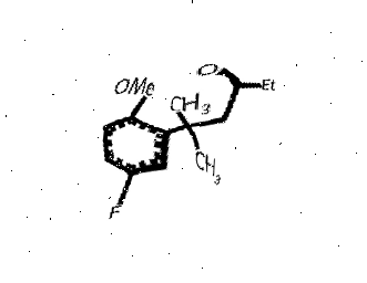 CCC(=O)CC(C)(C)c1cc(F)ccc1OC